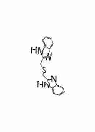 c1ccc2[nH]c(CSCc3nc4ccccc4[nH]3)nc2c1